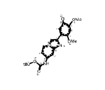 COc1cc(OC)c(-c2cn3ccc(NC(=O)OC(C)(C)C)cc3n2)cc1Cl